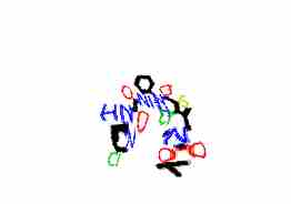 CN(Cc1csc(C(=O)N[C@@H]2CCCC[C@@H]2NC(=O)C(=O)Nc2ccc(Cl)cn2)c1Cl)C(=O)OC(C)(C)C